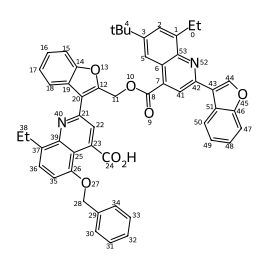 CCc1cc(C(C)(C)C)cc2c(C(=O)OCc3oc4ccccc4c3-c3cc(C(=O)O)c4c(OCc5ccccc5)ccc(CC)c4n3)cc(-c3coc4ccccc34)nc12